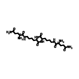 NC(=O)CC[C@H](N)C(=O)NCCCCC1NC(=O)C(CCCCNC(=O)[C@@H](N)CCC(N)=O)NC1=O